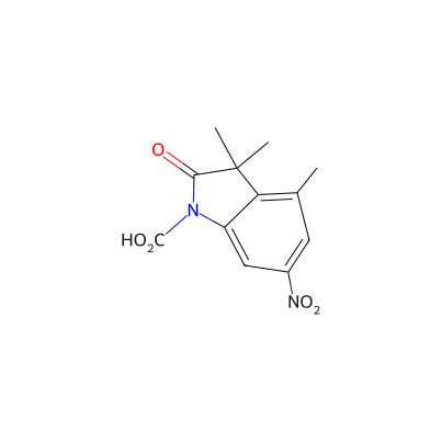 Cc1cc([N+](=O)[O-])cc2c1C(C)(C)C(=O)N2C(=O)O